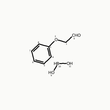 O=CCOc1ccccc1.OBO